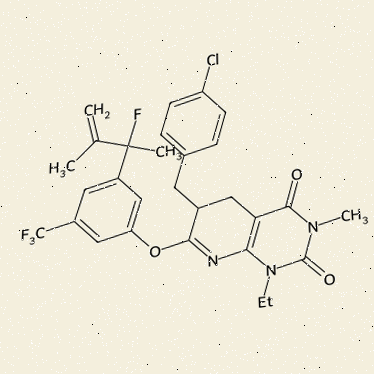 C=C(C)C(C)(F)c1cc(OC2=Nc3c(c(=O)n(C)c(=O)n3CC)CC2Cc2ccc(Cl)cc2)cc(C(F)(F)F)c1